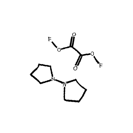 C1CCN(N2CCCC2)C1.O=C(OF)C(=O)OF